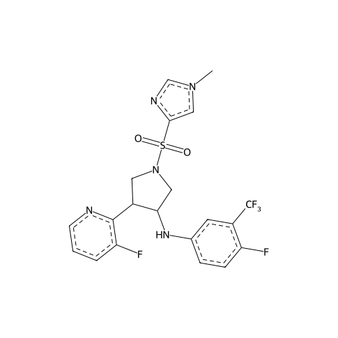 Cn1cnc(S(=O)(=O)N2CC(Nc3ccc(F)c(C(F)(F)F)c3)C(c3ncccc3F)C2)c1